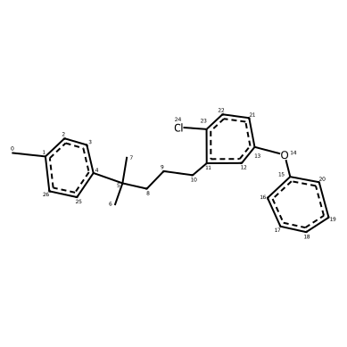 Cc1ccc(C(C)(C)CCCc2cc(Oc3ccccc3)ccc2Cl)cc1